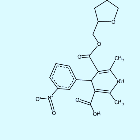 CC1=C(C(=O)O)C(c2cccc([N+](=O)[O-])c2)C(C(=O)OCC2CCCO2)=C(C)N1